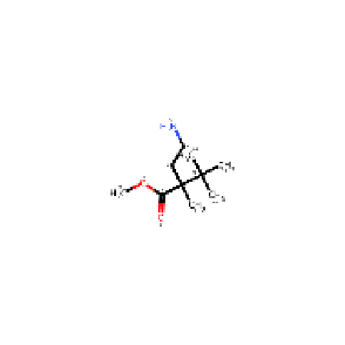 COC(=O)C(C)(CCN)C(C)(C)C